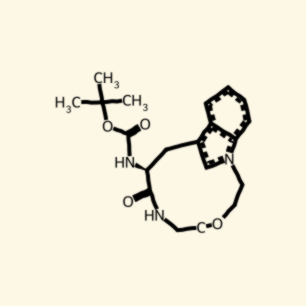 CC(C)(C)OC(=O)N[C@H]1Cc2cn(c3ccccc23)CCOCCNC1=O